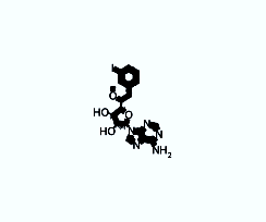 COC(Cc1cccc(I)c1)[C@H]1O[C@@H](n2cnc3c(N)ncnc32)[C@H](O)[C@@H]1O